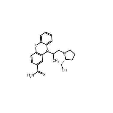 CC(CN1CCC[C@@H]1CO)N1c2ccccc2Sc2ccc(C(N)=S)cc21